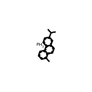 Cc1cccc2c1ccc1cc(C(C)C)ccc12.P